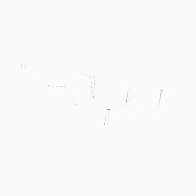 O=C(O)Cc1nc(C(=O)c2ccc(Cl)cc2)no1